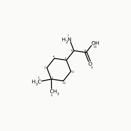 CC1(C)CCC(C(N)C(=O)O)CC1